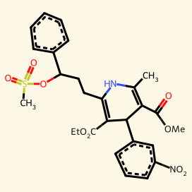 CCOC(=O)C1=C(CCC(OS(C)(=O)=O)c2ccccc2)NC(C)=C(C(=O)OC)C1c1cccc([N+](=O)[O-])c1